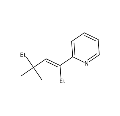 CC/C(=C\C(C)(C)CC)c1ccccn1